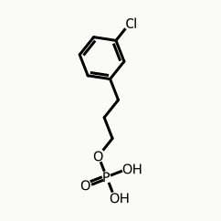 O=P(O)(O)OCCCc1cccc(Cl)c1